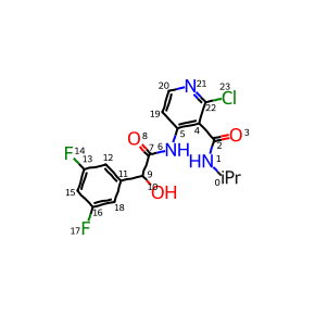 CC(C)NC(=O)c1c(NC(=O)C(O)c2cc(F)cc(F)c2)ccnc1Cl